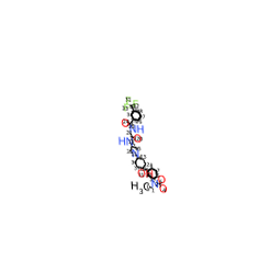 CCn1c(=O)oc2ccc([C@]3(O)CC[C@H](N4CC(NC(=O)CNC(=O)c5cccc(C(F)(F)F)c5)C4)CC3)cc21